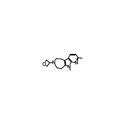 Cc1ccc2c3c(n(C)c2n1)CCN(C1COC1)CC3